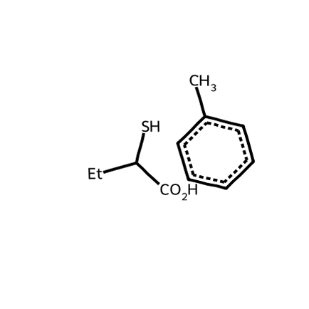 CCC(S)C(=O)O.Cc1ccccc1